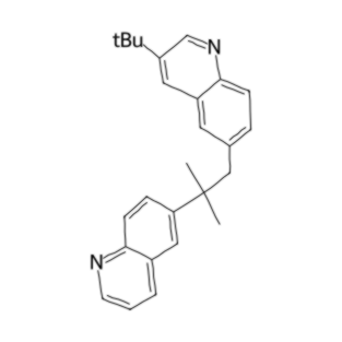 CC(C)(C)c1cnc2ccc(CC(C)(C)c3ccc4ncccc4c3)cc2c1